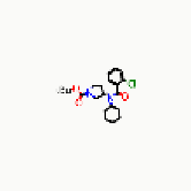 CC(C)(C)OC(=O)N1CC[C@H](N(C(=O)c2ccccc2Cl)C2CCCCC2)C1